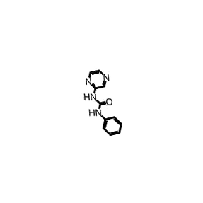 O=C(Nc1ccccc1)Nc1cnccn1